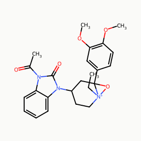 CC[N+]12CCC(n3c(=O)n(C(C)=O)c4ccccc43)CC1(c1ccc(OC)c(OC)c1)O2